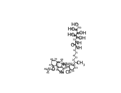 CC(CCCCCNC(=O)NC[C@H](O)[C@@H](O)[C@H](O)[C@H](O)CO)c1ccc(Cl)c(CNC2(c3cnccc3-c3ccccc3OC3CC3)CC2)c1